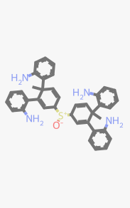 CC1(c2ccccc2N)C=CC([S+]([O-])C2C=CC(C)(c3ccccc3N)C(c3ccccc3N)=C2)C=C1c1ccccc1N